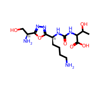 CC(O)C(NC(=O)N[C@@H](CCCCN)c1nnc([C@@H](N)CO)o1)C(=O)O